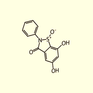 O=c1c2cc(O)cc(O)c2[s+]([O-])n1-c1ccccc1